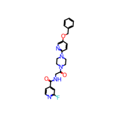 O=C(NCC(=O)N1CCN(c2ccc(OCc3ccccc3)cn2)CC1)c1ccnc(F)c1